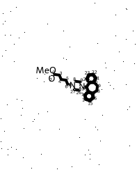 COC(=O)CCCCN1CCN(C2c3ccccc3CCc3ccccc32)CC1